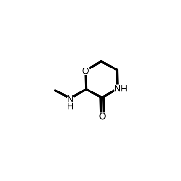 CNC1OCCNC1=O